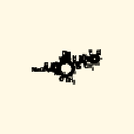 COC(=O)Cc1ccc2c(c1)NC(=O)[C@H](C)CCC[C@H](NC(=O)c1nnn(-c3cccc(Cl)c3F)c1C)c1cc-2cc(=O)[nH]1